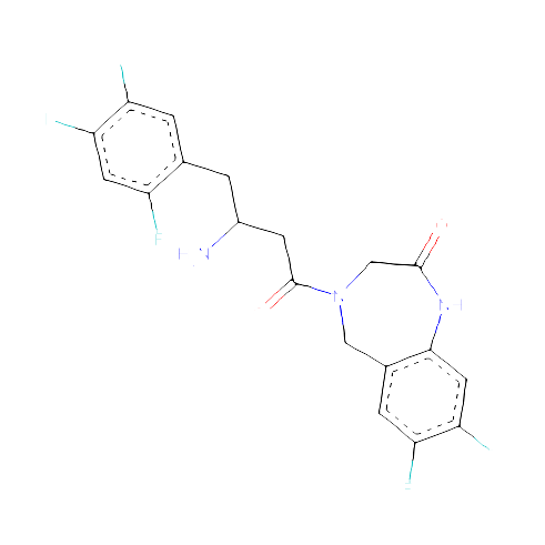 NC(CC(=O)N1CC(=O)Nc2cc(F)c(F)cc2C1)Cc1cc(F)c(F)cc1F